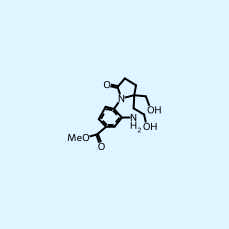 COC(=O)c1ccc(N2C(=O)CCC2(CO)CCO)c(N)c1